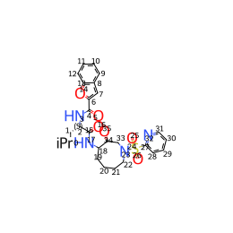 CC(C)C[C@H](NC(=O)c1cc2ccccc2o1)C(=O)NC1CCCCN(S(=O)(=O)c2ccccn2)CC1=O